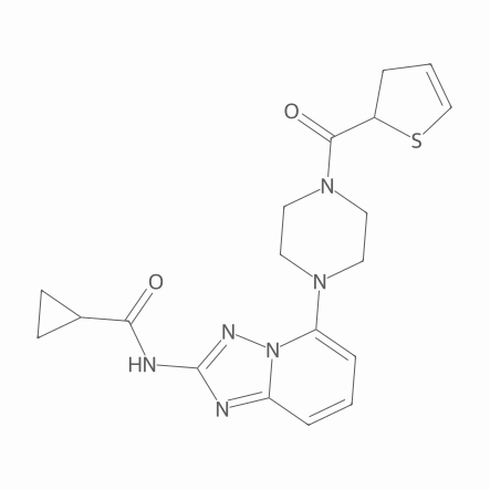 O=C(Nc1nc2cccc(N3CCN(C(=O)C4CC=CS4)CC3)n2n1)C1CC1